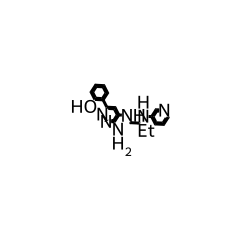 CCC(CNc1cc(-c2ccccc2O)nnc1N)Nc1cccnc1